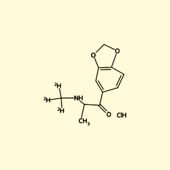 Cl.[2H]C([2H])([2H])NC(C)C(=O)c1ccc2c(c1)OCO2